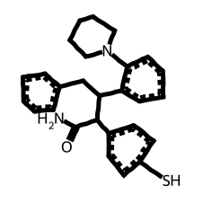 NC(=O)C(c1ccc(S)cc1)C(Cc1ccccc1)c1ccccc1N1CCCCC1